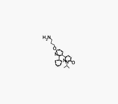 CC(C)n1nc(-c2ccc(OCCCN)nc2-c2ccccc2)ccc1=O